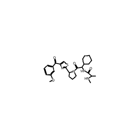 CNC(C)C(=O)NC(C(=O)N1CCCC1c1nc(C(=O)c2cccc(OC)c2)cs1)C1CCCCC1